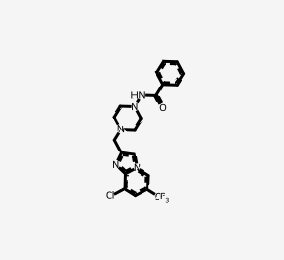 O=C(NN1CCN(Cc2cn3cc(C(F)(F)F)cc(Cl)c3n2)CC1)c1ccccc1